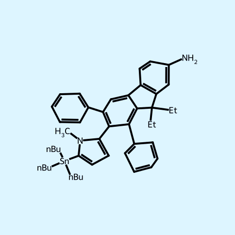 CCC[CH2][Sn]([CH2]CCC)([CH2]CCC)[c]1ccc(-c2c(-c3ccccc3)cc3c(c2-c2ccccc2)C(CC)(CC)c2cc(N)ccc2-3)n1C